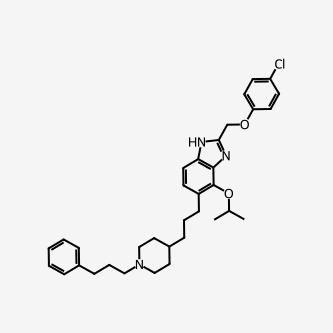 CC(C)Oc1c(CCCC2CCN(CCCc3ccccc3)CC2)ccc2[nH]c(COc3ccc(Cl)cc3)nc12